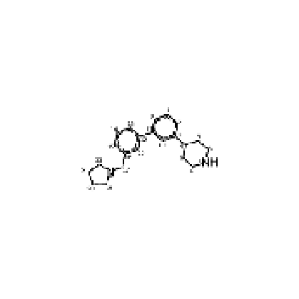 [c]1ccc(C2CCNCC2)cc1-c1cccc(CN2CCCC2)c1